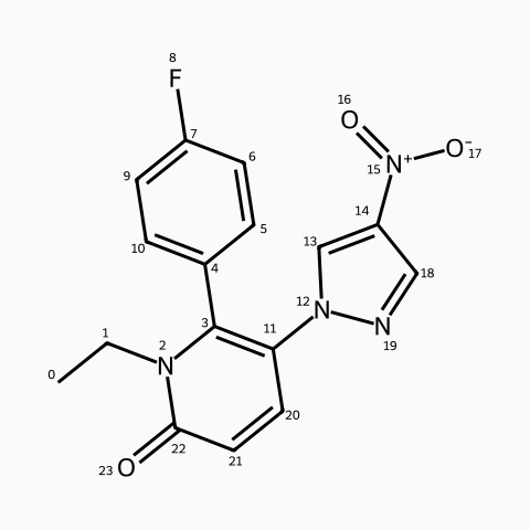 CCn1c(-c2ccc(F)cc2)c(-n2cc([N+](=O)[O-])cn2)ccc1=O